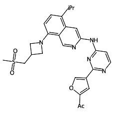 CC(=O)c1cc(-c2nccc(Nc3cc4c(C(C)C)ccc(N5CC(CS(C)(=O)=O)C5)c4cn3)n2)co1